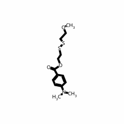 COCCSSCCOC(=O)c1ccc(N(C)C)cc1